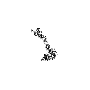 C=CC(=O)N1CC2(CCN(CCc3ccc(-c4cc5c(-c6cnc(F)nc6)ncnc5[nH]4)cc3)CC2)C1